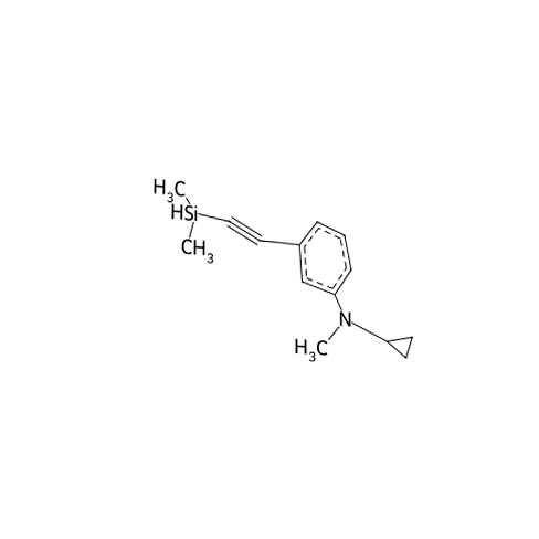 CN(c1cccc(C#C[SiH](C)C)c1)C1CC1